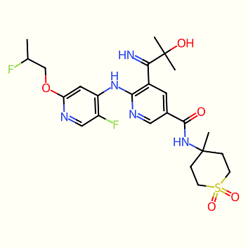 CC(F)COc1cc(Nc2ncc(C(=O)NC3(C)CCS(=O)(=O)CC3)cc2C(=N)C(C)(C)O)c(F)cn1